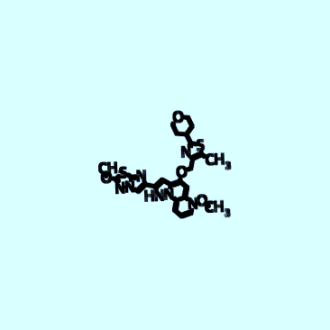 COc1nn2cc(C3=CC4=C(OCc5nc(C6CCOCC6)sc5C)C=C5C(=CC=CN5OC)N4N3)nc2s1